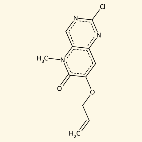 C=CCOc1cc2nc(Cl)ncc2n(C)c1=O